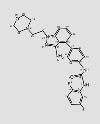 Cc1ccc(F)c(NC(=O)Nc2ccc(-c3cccc4c3c(N)nn4CCN3CCOCC3)cc2)c1